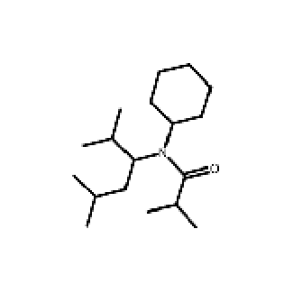 CC(C)CC(C(C)C)N(C(=O)C(C)C)C1CCCCC1